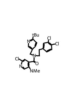 CNc1cnc(Cl)cc1C(=O)N(CCc1ccc(Cl)c(Cl)c1)Cc1ccc(C(C)(C)C)nc1